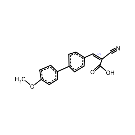 COc1ccc(-c2ccc(/C=C(/C#N)C(=O)O)cc2)cc1